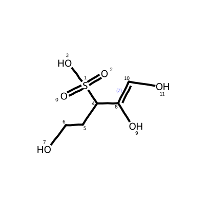 O=S(=O)(O)C(CCO)/C(O)=C/O